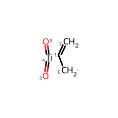 [CH2]C=C.[O]=[Ti]=[O]